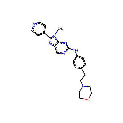 Cn1c(-c2ccncc2)nc2cnc(Nc3ccc(CCN4CCOCC4)cc3)nc21